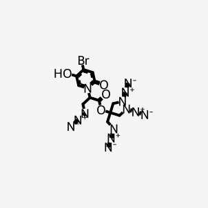 [N-]=[N+]=NCC(C(=O)OC(CN=[N+]=[N-])(CN=[N+]=[N-])CN=[N+]=[N-])n1cc(O)c(Br)cc1=O